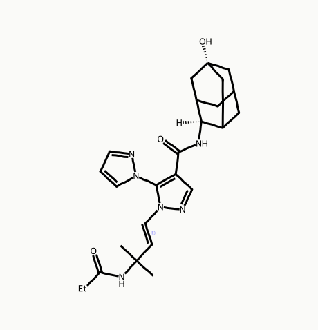 CCC(=O)NC(C)(C)/C=C/n1ncc(C(=O)N[C@H]2C3CC4CC2C[C@](O)(C4)C3)c1-n1cccn1